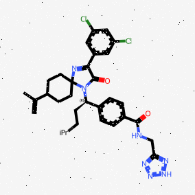 C=C(C)C1CCC2(CC1)N=C(c1cc(Cl)cc(Cl)c1)C(=O)N2[C@H](CCC(C)C)c1ccc(C(=O)NCc2nn[nH]n2)cc1